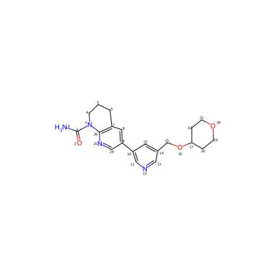 NC(=O)N1CCCc2cc(-c3cncc(COC4CCOCC4)c3)cnc21